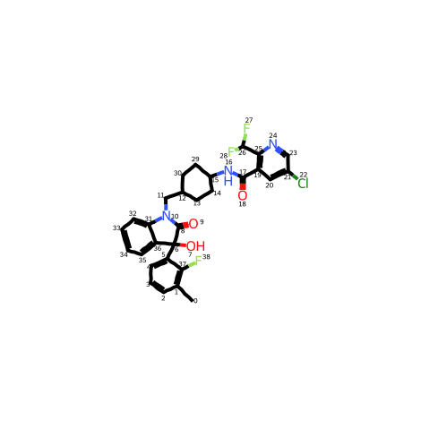 Cc1cccc(C2(O)C(=O)N(CC3CCC(NC(=O)c4cc(Cl)cnc4C(F)F)CC3)c3ccccc32)c1F